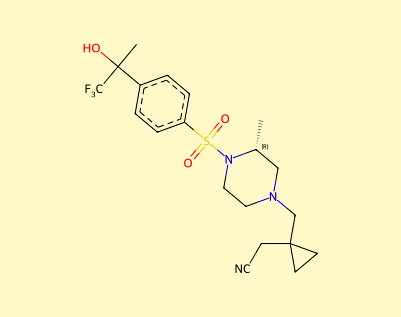 C[C@@H]1CN(CC2(CC#N)CC2)CCN1S(=O)(=O)c1ccc(C(C)(O)C(F)(F)F)cc1